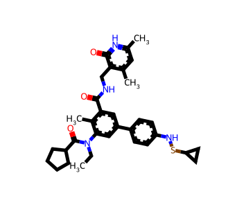 CCN(C(=O)C1CCCC1)c1cc(-c2ccc(NSC3CC3)cc2)cc(C(=O)NCc2c(C)cc(C)[nH]c2=O)c1C